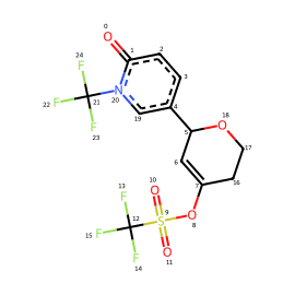 O=c1ccc(C2C=C(OS(=O)(=O)C(F)(F)F)CCO2)cn1C(F)(F)F